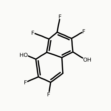 Oc1c(F)c(F)c(F)c2c(O)c(F)c(F)cc12